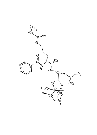 CNC(=N)NCCC[C@H](NC(=O)c1ccncc1)C(=O)N[C@@H](CC(C)C)B1O[C@@H]2C[C@@H]3C[C@@H](C3(C)C)[C@]2(C)O1